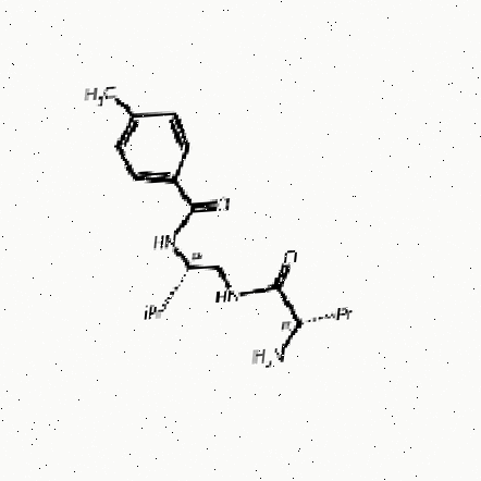 Cc1ccc(C(=O)N[C@H](CNC(=O)[C@@H](N)C(C)C)C(C)C)cc1